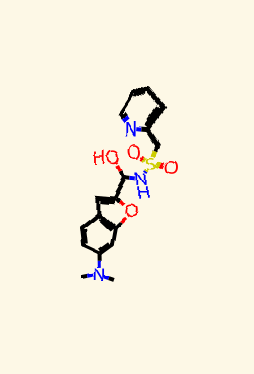 CN(C)c1ccc2cc(C(O)NS(=O)(=O)Cc3ccccn3)oc2c1